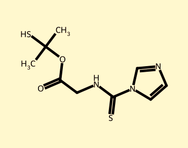 CC(C)(S)OC(=O)CNC(=S)n1ccnc1